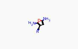 N#Cc1cc(N)oc1N